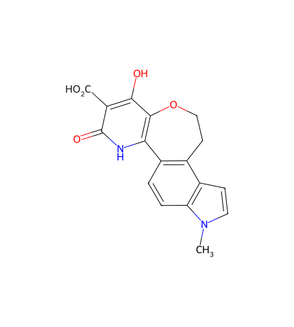 Cn1ccc2c3c(ccc21)-c1[nH]c(=O)c(C(=O)O)c(O)c1OCC3